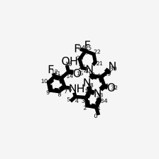 Cc1cc(C(C)Nc2cccc(F)c2C(=O)O)c2nc(N3CCC(F)(F)CC3)c(C#N)c(=O)n2c1